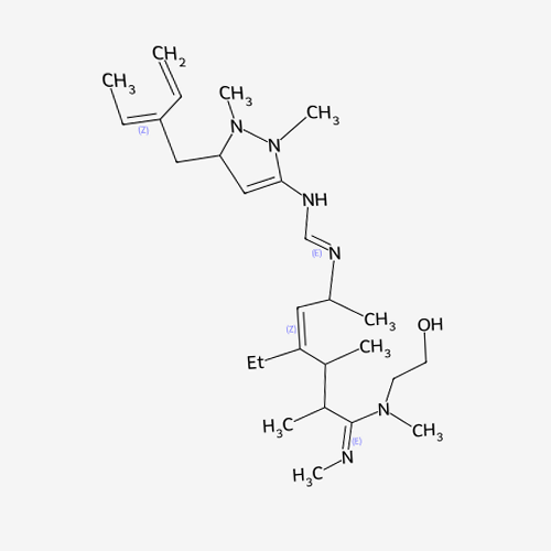 C=C/C(=C\C)CC1C=C(N/C=N/C(C)/C=C(/CC)C(C)C(C)/C(=N\C)N(C)CCO)N(C)N1C